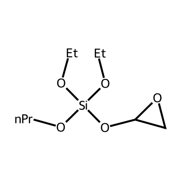 CCCO[Si](OCC)(OCC)OC1CO1